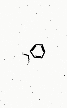 FCF.c1ccccc1